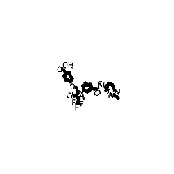 Cc1nc2ccc(N(C)C(=O)c3cccc(-n4nc(C(F)(F)F)c(Cl)c4COc4ccc(C(=O)O)cc4)c3)cn2n1